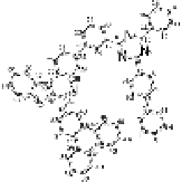 c1ccc(-c2ccc(-c3nc(-c4ccccc4)nc(-c4cccc(-c5ccc6c(c5)nc(-c5ccc7c8ccccc8c8ccccc8c7c5)c5sc7ccccc7c56)c4)n3)cc2)cc1